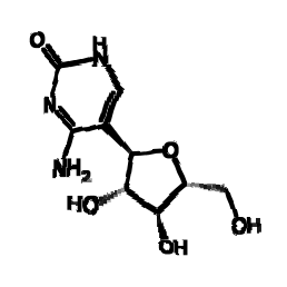 Nc1nc(=O)[nH]cc1[C@H]1O[C@H](CO)[C@@H](O)[C@@H]1O